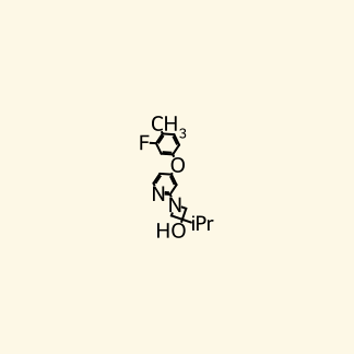 Cc1ccc(Oc2ccnc(N3CC(O)(C(C)C)C3)c2)cc1F